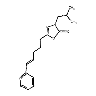 CC(C)Cn1nc(CCC/C=C/c2ccccc2)oc1=O